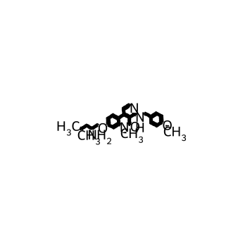 COc1ccc(CNc2nccc3c2c(=O)n(C)c2cc(OCC(N)CC(C)C)ccc32)cc1